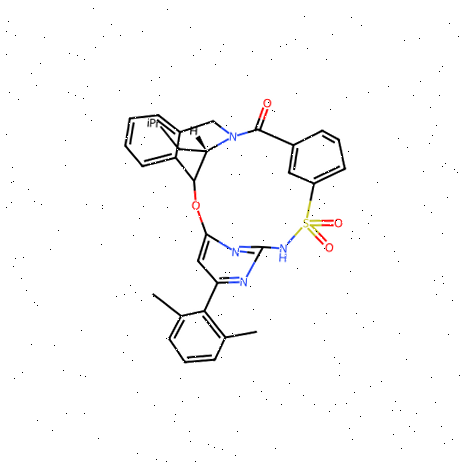 Cc1cccc(C)c1-c1cc2nc(n1)NS(=O)(=O)c1cccc(c1)C(=O)N1Cc3ccccc3C(O2)[C@@H]1CC(C)C